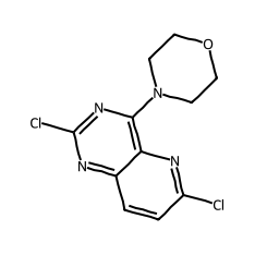 Clc1ccc2nc(Cl)nc(N3CCOCC3)c2n1